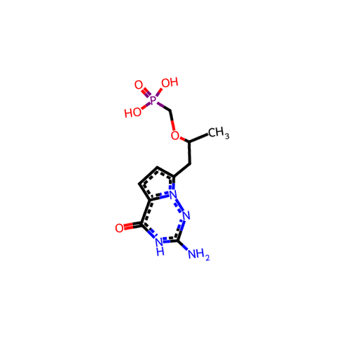 CC(Cc1ccc2c(=O)[nH]c(N)nn12)OCP(=O)(O)O